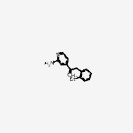 C=C(Cc1ccccc1CC)c1ccnc(N)c1